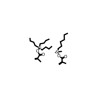 C=C(C)C(=O)O[Si](C)(C)CCCCCC.C=C(C)C(=O)O[Si](CCCC)(CCCC)CCCC